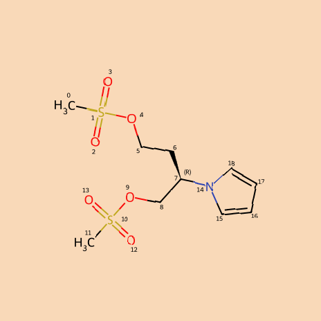 CS(=O)(=O)OCC[C@H](COS(C)(=O)=O)n1cccc1